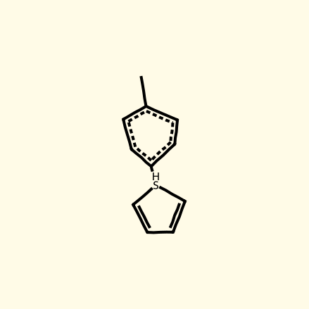 Cc1ccc([SH]2C=CC=C2)cc1